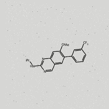 COc1cc2nc(NC(C)C)ncc2cc1-c1cccc(C(F)(F)F)c1